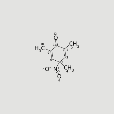 CC1=CC(C)([N+](=O)[O-])C=C(C)C1=O